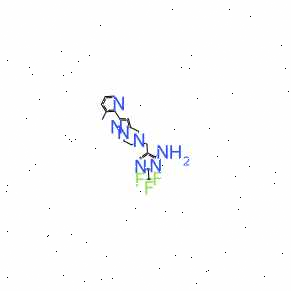 Cc1cccnc1-c1cc2n(n1)CCN(Cc1cnc(C(F)(F)F)nc1N)C2